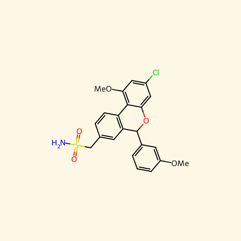 COc1cccc(C2Oc3cc(Cl)cc(OC)c3-c3ccc(CS(N)(=O)=O)cc32)c1